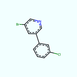 Clc1cccc(-c2cncc(Br)c2)c1